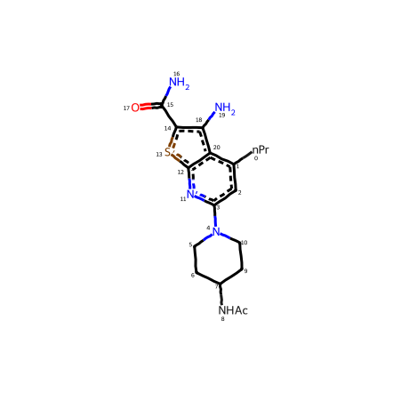 CCCc1cc(N2CCC(NC(C)=O)CC2)nc2sc(C(N)=O)c(N)c12